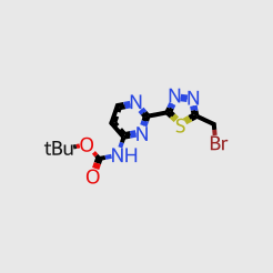 CC(C)(C)OC(=O)Nc1ccnc(-c2nnc(CBr)s2)n1